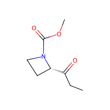 CCC(=O)[C@@H]1CCN1C(=O)OC